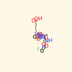 C=C[C@@H]1C[C@]1(NC(=O)[C@@H]1C[C@@H](OC(=O)N2Cc3cccc(F)c3C2)CN1)C(=O)NS(=O)(=O)c1ccccc1NCCCCCCCCC(=O)O